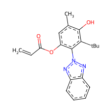 C=CC(=O)Oc1cc(C)c(O)c(C(C)(C)C)c1-n1nc2ccccc2n1